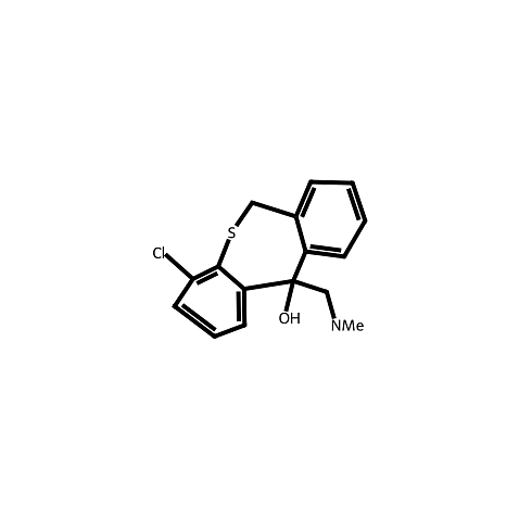 CNCC1(O)c2ccccc2CSc2c(Cl)cccc21